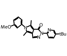 COc1cccc(-n2c(C)c3cnn(-c4ccc(C(C)(C)C)cn4)c(=O)c3c2C)c1